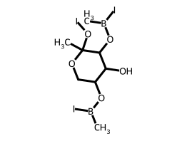 CB(I)OC1COC(C)(OI)C(OB(C)I)C1O